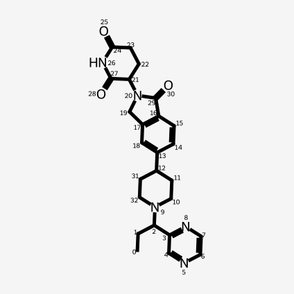 CCC(c1cnccn1)N1CCC(c2ccc3c(c2)CN(C2CCC(=O)NC2=O)C3=O)CC1